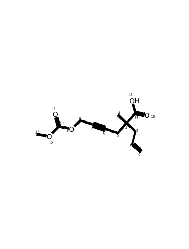 C=CCC(C)(CC#CCOC(=O)OC)C(=O)O